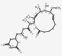 CO[C@H]1/C=C/CCCCC(=O)O[C@H]([C@H](C)C(=O)C[C@@H](O)CC2CC(=O)NC(=O)C2)/C(C)=C\[C@@H](C)[C@@H]1O